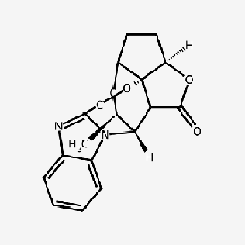 C[C@H]1CC2CC[C@H]3OC(=O)C4[C@@H]1n1c(nc5ccccc51)CO[C@@]243